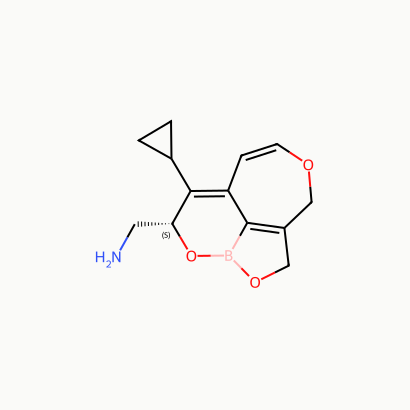 NC[C@H]1OB2OCC3=C2C(=C1C1CC1)C=COC3